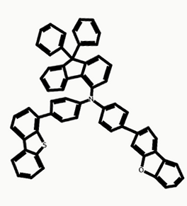 c1ccc(C2(c3ccccc3)c3ccccc3-c3c(N(c4ccc(-c5ccc6c(c5)oc5ccccc56)cc4)c4ccc(-c5cccc6c5sc5ccccc56)cc4)cccc32)cc1